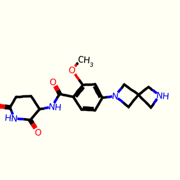 COc1cc(N2CC3(CNC3)C2)ccc1C(=O)NC1CCC(=O)NC1=O